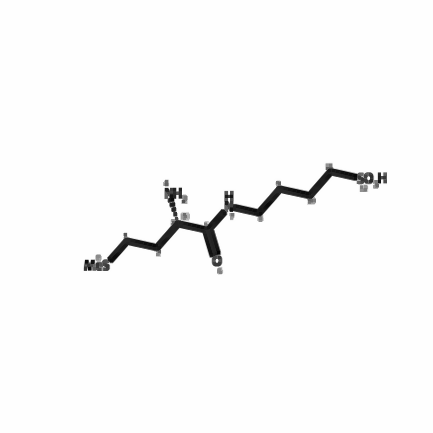 CSCC[C@H](N)C(=O)NCCCCS(=O)(=O)O